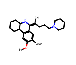 CCOc1cc2c(cc1OC)/C(=C(/C#N)CCCN1CCCCC1)NC1CCCCC21